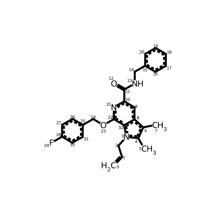 C=CCn1c(C)c(C)c2cc(C(=O)NCc3ccccc3)nc(OCc3ccc(F)cc3)c21